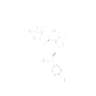 CC(C)(C)OC(=O)N1C(C#C[C@@H](O)c2ccc(Cl)cc2)COC1(C)C